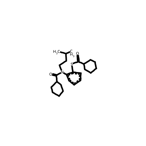 CC(C)CCN(C(=O)C1CCCCC1)c1ccccc1SC(=O)C1CCCCC1